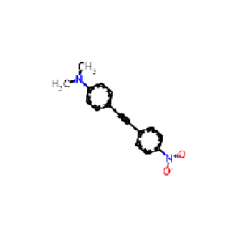 CN(C)c1ccc(C#Cc2ccc([N+](=O)[O-])cc2)cc1